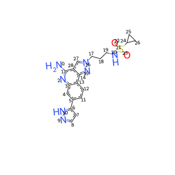 Nc1nc2cc(-c3ccn[nH]3)ccc2c2nn(CCCNS(=O)(=O)C3CC3)cc12